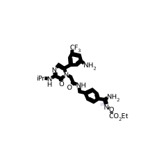 CCOC(=O)O/N=C(\N)c1ccc(CNC(=O)Cn2c(-c3cc(N)cc(C(F)(F)F)c3)cnc(NC(C)C)c2=O)cc1